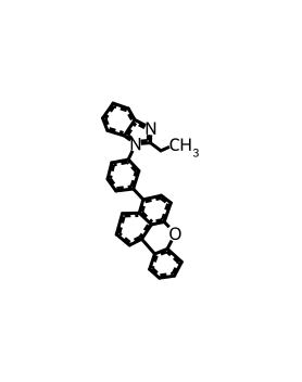 CCc1nc2ccccc2n1-c1cccc(-c2ccc3c4c(cccc24)-c2ccccc2O3)c1